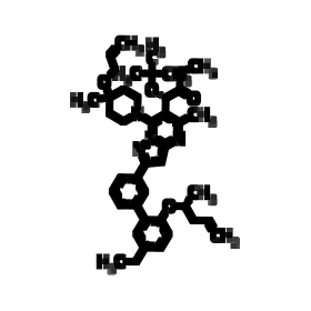 C=CCOC1(C)CCN(c2c([C@H](OC(C)(C)C)C(=O)OC)c(C)nc3cc(-c4cccc(-c5cc(CC)ccc5O[C@@H](C)CC=C)c4)nn23)CC1